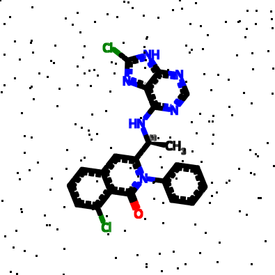 C[C@H](Nc1ncnc2[nH]c(Cl)nc12)c1cc2cccc(Cl)c2c(=O)n1-c1ccccc1